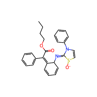 CCCCOC(=O)C(=C1C=CC=CC1N=c1n(-c2ccccc2)cc[s+]1[O-])c1ccccc1